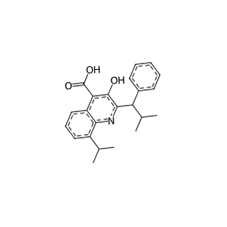 CC(C)c1cccc2c(C(=O)O)c(O)c(C(c3ccccc3)C(C)C)nc12